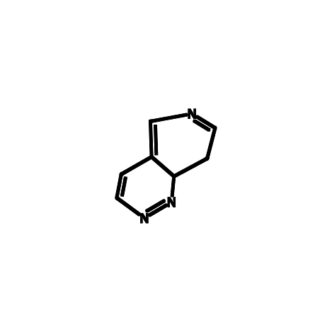 C1=CC2=CN=CCC2N=N1